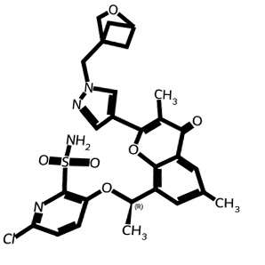 Cc1cc([C@@H](C)Oc2ccc(Cl)nc2S(N)(=O)=O)c2oc(-c3cnn(CC45COC(C4)C5)c3)c(C)c(=O)c2c1